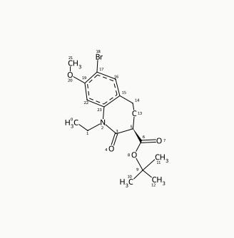 CCN1C(=O)[C@H](C(=O)OC(C)(C)C)CCc2cc(Br)c(OC)cc21